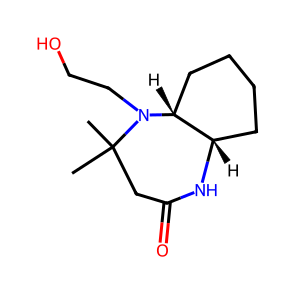 CC1(C)CC(=O)N[C@H]2CCCC[C@H]2N1CCO